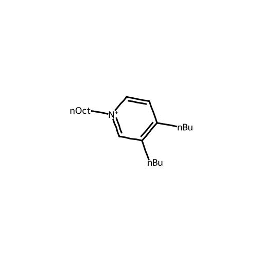 CCCCCCCC[n+]1ccc(CCCC)c(CCCC)c1